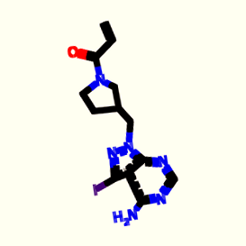 C=CC(=O)N1CCC(Cn2nc(I)c3c(N)ncnc32)C1